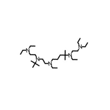 CCN(CC)CCN(CCN(CC)CCCC(C)(C)N(CC)CCN(CC)CC)C(C)(C)C